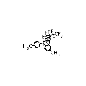 Cc1ccc([I+](OS(=O)(=O)C(F)(F)C(F)(F)C(F)(F)C(F)(F)F)c2ccc(C)cc2)cc1